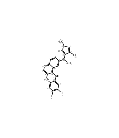 CN(c1ccc2ncc(C#N)c(Nc3ccc(F)c(Cl)c3)c2c1)c1nn(C)cc1Cl